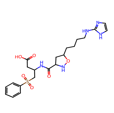 O=C(O)CC(CS(=O)(=O)c1ccccc1)NC(=O)C1CC(CCCCNc2ncc[nH]2)ON1